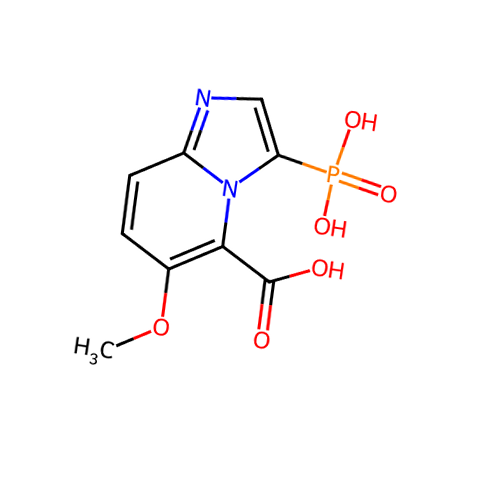 COc1ccc2ncc(P(=O)(O)O)n2c1C(=O)O